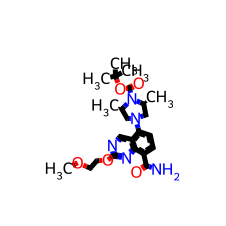 COCCOc1ncc2c(N3C[C@H](C)N(C(=O)OC(C)(C)C)[C@@H](C)C3)ccc(C(N)=O)c2n1